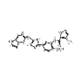 Cc1cnoc1C(=O)Nc1cc(-c2nnc(Nc3cc4cn[nH]c4cn3)s2)ccc1C(=O)O